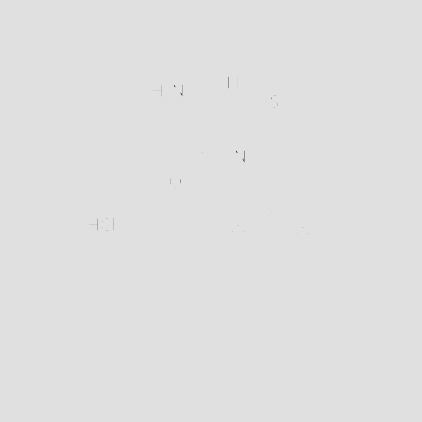 Cl.NC1C(=O)N2C(C(=O)OC(c3ccccc3)c3ccccc3)=CCS[C@H]12